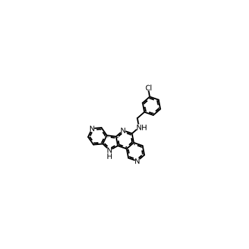 Clc1cccc(CNc2nc3c4cnccc4[nH]c3c3cnccc23)c1